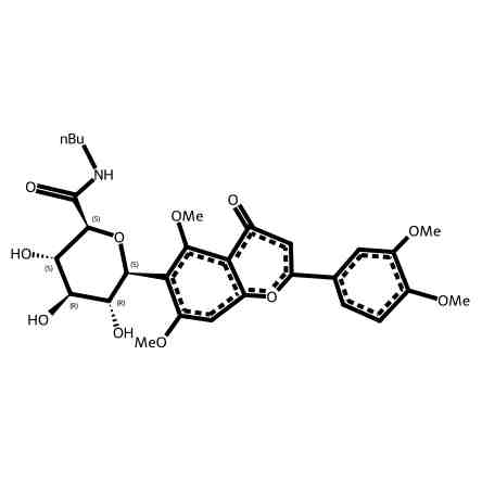 CCCCNC(=O)[C@H]1O[C@@H](c2c(OC)cc3oc(-c4ccc(OC)c(OC)c4)cc(=O)c3c2OC)[C@H](O)[C@@H](O)[C@@H]1O